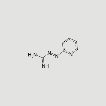 N=C(N)N=Nc1ccccn1